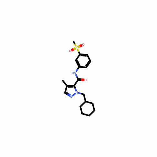 Cc1cnn(CC2CCCCC2)c1C(=O)Nc1cccc(S(C)(=O)=O)c1